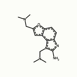 CN(C)Cc1cc2c(ccc3nc(N)n(CN(C)C)c32)o1